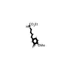 CCOC(=O)NCCCCc1ccc(OC)c(F)c1